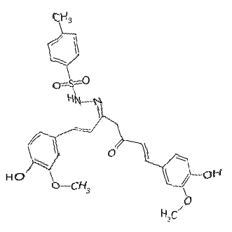 COc1cc(/C=C/C(=O)CC(/C=C/c2ccc(O)c(OC)c2)=N/NS(=O)(=O)c2ccc(C)cc2)ccc1O